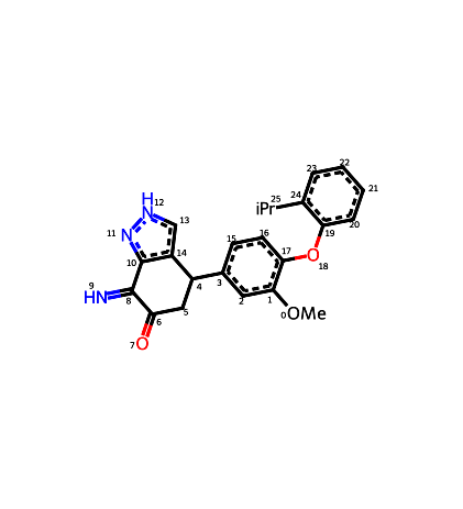 COc1cc(C2CC(=O)C(=N)c3n[nH]cc32)ccc1Oc1ccccc1C(C)C